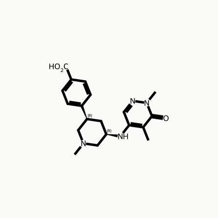 Cc1c(N[C@@H]2C[C@H](c3ccc(C(=O)O)cc3)CN(C)C2)cnn(C)c1=O